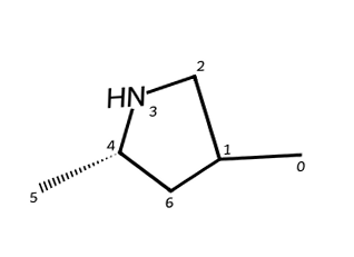 CC1CN[C@@H](C)C1